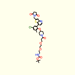 Cc1cc(Cl)cc(-c2ccnc3cc(CN4C(=O)CCC4=O)sc23)c1OC1CCN(C(=O)CCOCCOCCNC(=O)OC(C)(C)C)CC1